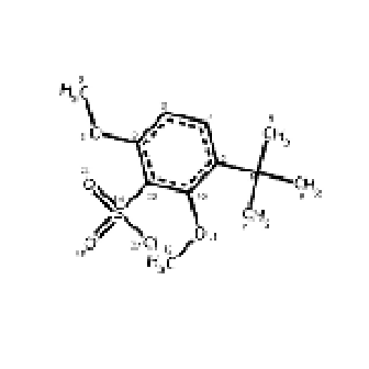 COc1ccc(C(C)(C)C)c(OC)c1S(=O)(=O)Cl